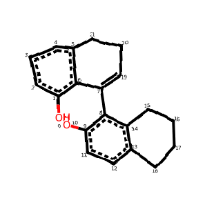 Oc1cccc2c1C(c1c(O)ccc3c1CCCC3)=CCC2